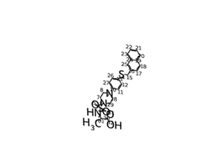 C[C@@H](NS(=O)(=O)N1CCN(c2ccc(SCc3ccc4ccccc4c3)cc2)CC1)C(=O)O